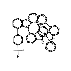 O=C1c2cccc(-n3c4c(-c5ccc(C(F)(F)F)cc5)cccc4c4cccc(-c5ccc(C(F)(F)F)cc5)c43)c2C(=O)N1c1c(-c2ccccc2)cccc1-c1ccccc1